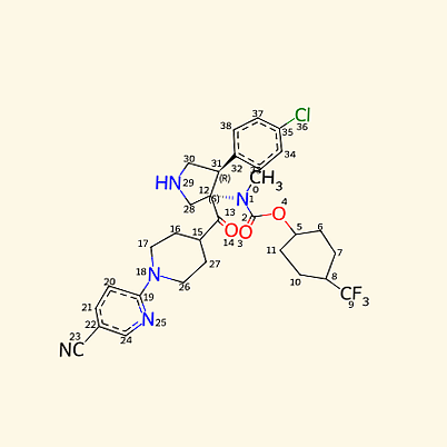 CN(C(=O)OC1CCC(C(F)(F)F)CC1)[C@]1(C(=O)C2CCN(c3ccc(C#N)cn3)CC2)CNC[C@H]1c1ccc(Cl)cc1